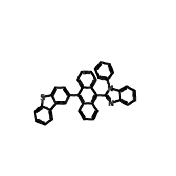 c1ccc(-n2c(-c3c4ccccc4c(-c4ccc5sc6ccccc6c5c4)c4ccccc34)nc3ccccc32)cc1